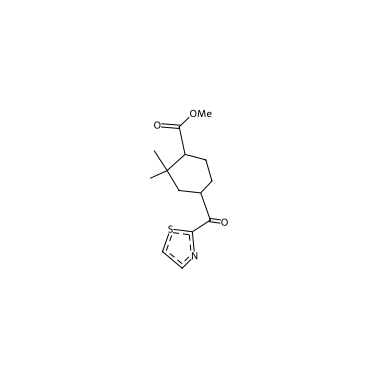 COC(=O)C1CCC(C(=O)c2nccs2)CC1(C)C